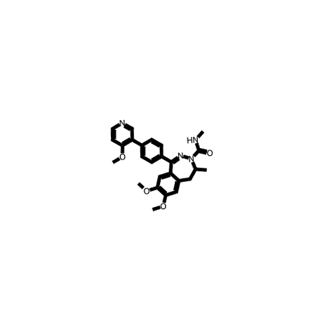 CNC(=O)N1N=C(c2ccc(-c3cnccc3OC)cc2)c2cc(OC)c(OC)cc2CC1C